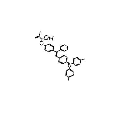 C=C(C)C(O)Oc1ccc(C(=Cc2ccc(N(c3ccc(C)cc3)c3ccc(C)cc3)cc2)c2ccccc2)cc1